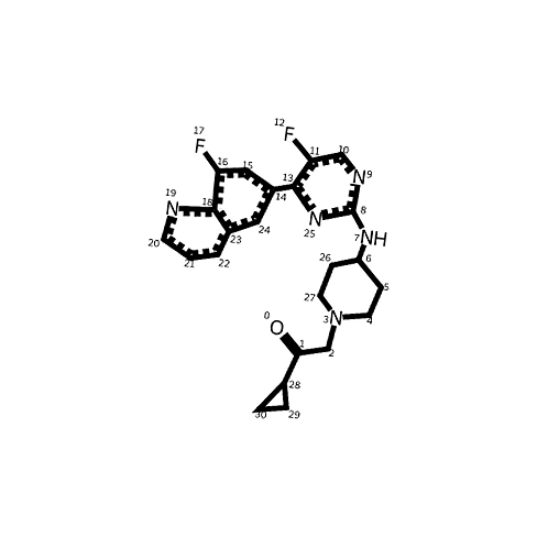 O=C(CN1CCC(Nc2ncc(F)c(-c3cc(F)c4ncccc4c3)n2)CC1)C1CC1